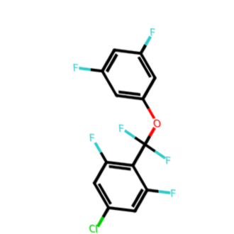 Fc1cc(F)cc(OC(F)(F)c2c(F)cc(Cl)cc2F)c1